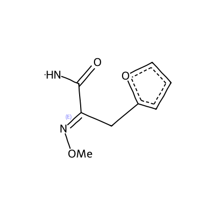 CO/N=C(\Cc1ccco1)C([NH])=O